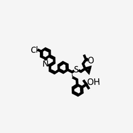 CC(=O)CC1(CS[C@H](CCc2ccccc2C(C)(C)O)c2cccc(/C=C\c3ccc4ccc(Cl)cc4n3)c2)CC1